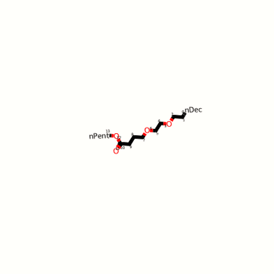 CCCCCCCCCCCCOCCOCCCC(=O)OCCCCC